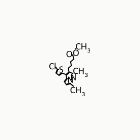 CCOC(=O)CCCCc1c(C)nn2c(CC)ccc2c1-c1ccc(Cl)s1